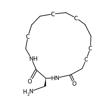 NC[C@@H]1NC(=O)CCCCCCCCCCCCNC1=O